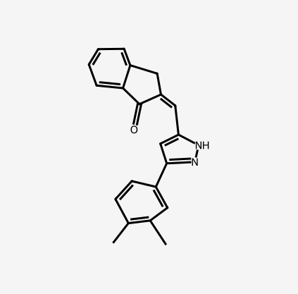 Cc1ccc(-c2cc(C=C3Cc4ccccc4C3=O)[nH]n2)cc1C